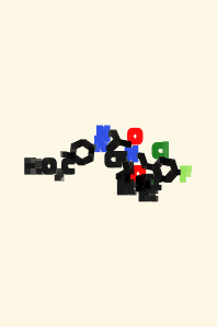 CCOC(=O)C1(C)CCC(n2ncc(C(=O)N(CC(O[Si](CC)(CC)CC)c3c(Cl)cc(F)cc3Cl)CC3(C)CC3)c2C(F)(F)F)CC1